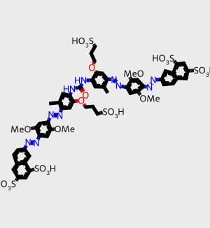 COc1cc(N=Nc2cc(OCCCS(=O)(=O)O)c(NC(=O)Nc3cc(C)c(N=Nc4cc(OC)c(N=Nc5ccc6cc(S(=O)(=O)O)cc(S(=O)(=O)O)c6c5)cc4OC)cc3OCCCS(=O)(=O)O)cc2C)c(OC)cc1N=Nc1ccc2cc(S(=O)(=O)O)cc(S(=O)(=O)O)c2c1